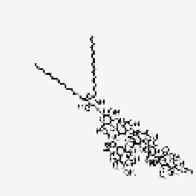 CCCCCCCCCCCCC/C=C/[C@@H](O)[C@H](CO[C@@H]1OC(CO)[C@@H](O[C@@H]2OC(CO)[C@H](O[C@@H]3OC(CO[C@]4(C(=O)O)CC(O)[C@@H](NC(C)=O)C([C@H](O)[C@H](O)CO)O4)[C@H](O)[C@H](O[C@@H]4OC(CO)[C@H](O)[C@H](O[C@]5(C(=O)O)CC(O)[C@@H](O)C([C@H](O)[C@H](O)CO)O5)C4O)C3NC(C)=O)[C@H](O)C2O)[C@H](O)C1O)NC(=O)CCCCCCCCCCCCCCC